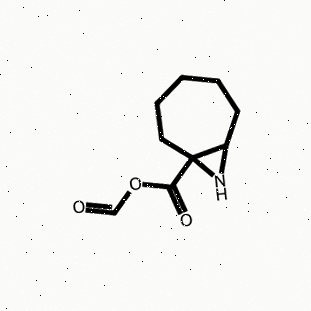 O=COC(=O)C12CCCCCC1N2